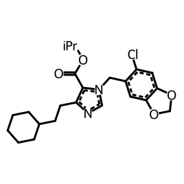 CC(C)OC(=O)c1c(CCC2CCCCC2)ncn1Cc1cc2c(cc1Cl)OCO2